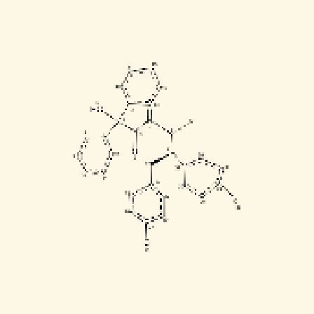 C[C@@H](NC(=O)C(O)(c1ccccc1)c1ccccc1)[C@H](Cc1ccc(Cl)cc1)c1ccc(Cl)cc1